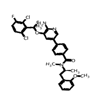 COc1ccccc1C[C@H](C)N(C)C(=O)c1ccc(-c2cnc(N)c(OC(C)c3c(Cl)ccc(F)c3Cl)c2)cc1